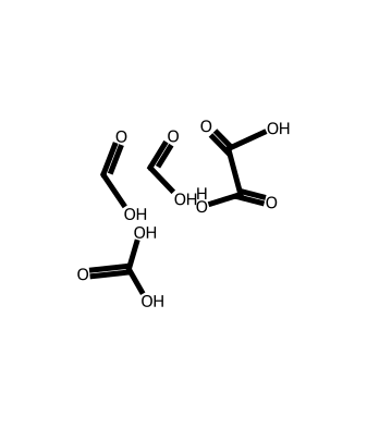 O=C(O)C(=O)O.O=C(O)O.O=CO.O=CO